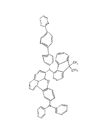 CC1(C)c2ccccc2-c2c(N(C3=CC=C4C=CC=C5c6cc(N(c7ccccc7)c7ccccc7)ccc6OC3C45)c3ccc(-c4ccc(-c5ccccc5)cc4)cc3)cccc21